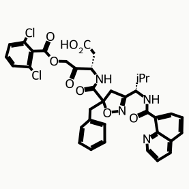 CC(C)[C@H](NC(=O)c1cccc2cccnc12)C1=NOC(Cc2ccccc2)(C(=O)N[C@@H](CC(=O)O)C(=O)COC(=O)c2c(Cl)cccc2Cl)C1